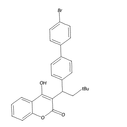 CC(C)(C)CC(c1ccc(-c2ccc(Br)cc2)cc1)c1c(O)c2ccccc2oc1=O